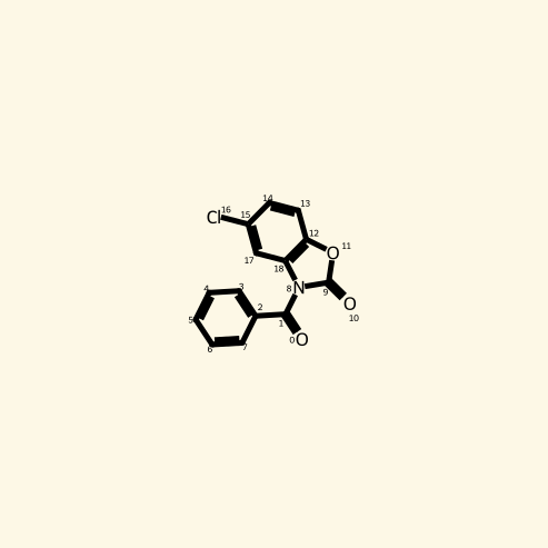 O=C(c1ccccc1)n1c(=O)oc2ccc(Cl)cc21